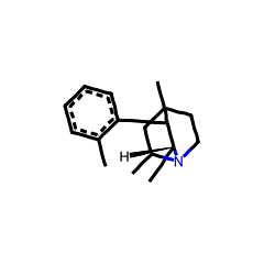 Cc1ccccc1C1[C@@H](C)N2CCC1(C)CC2C